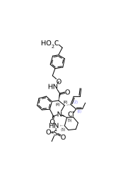 C=C/C=C(\C(Cl)=C/C)[C@H]1[C@H](C(=O)NOCc2ccc(CC(=O)O)cc2)c2ccccc2C(=O)N1[C@H]1CCCC[C@@H]1NS(C)(=O)=O